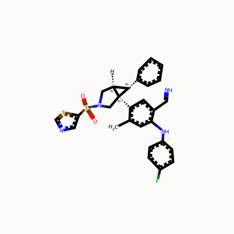 Cc1cc(Nc2ccc(F)cc2)c(C=N)cc1[C@]12CN(S(=O)(=O)c3cncs3)C[C@H]1[C@@H]2c1ccccc1